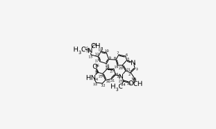 C#Cc1cnc2ccc(-c3ccc(CN(C)C)cc3)cc2c1N(C(C)=O)c1ccc2c(c1)CCNC2=O